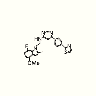 COc1ccc(F)c2c1cc(C)n2CCNc1cc(-c2ccc(-c3nccs3)cc2)ncn1